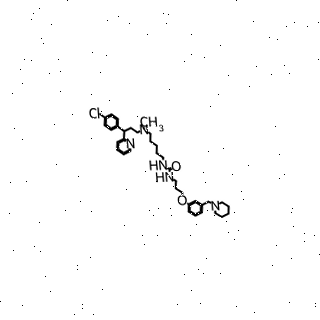 CN(CCCCCNC(=O)NCCCOc1cccc(CN2CCCCC2)c1)CCC(c1ccc(Cl)cc1)c1ccccn1